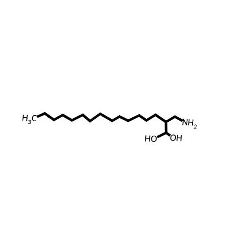 CCCCCCCCCCCCCCC(CN)C(O)O